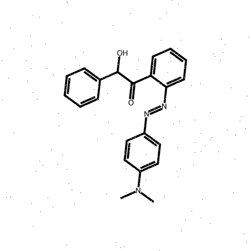 CN(C)c1ccc(N=Nc2ccccc2C(=O)C(O)c2ccccc2)cc1